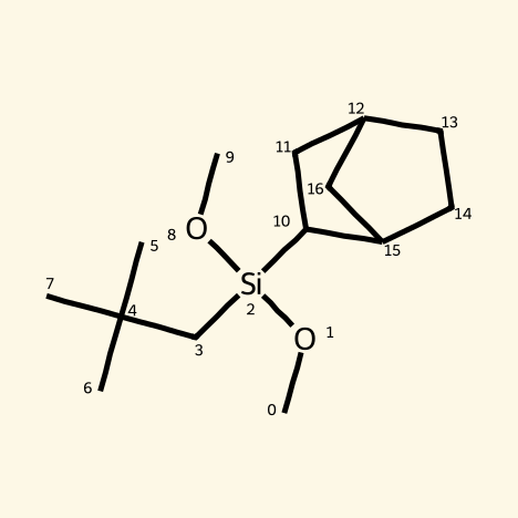 CO[Si](CC(C)(C)C)(OC)C1CC2CCC1C2